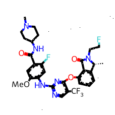 COc1cc(C(=O)NC2CCN(C)CC2)c(F)cc1Nc1ncc(C(F)(F)F)c(Oc2cccc3c2C(=O)N(CCF)[C@@H]3C)n1